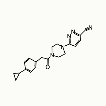 N#Cc1ccc(N2CCN(C(=O)Cc3ccc(C4CC4)cc3)CC2)nn1